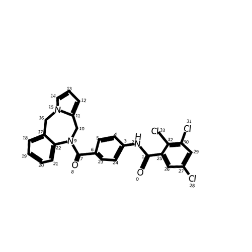 O=C(Nc1ccc(C(=O)N2Cc3cccn3Cc3ccccc32)cc1)c1cc(Cl)cc(Cl)c1Cl